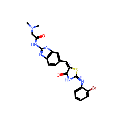 CN(C)CC(=O)Nc1nc2ccc(/C=C3/S/C(=N/c4ccccc4Br)NC3=O)cc2[nH]1